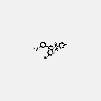 Cc1ccc(S(=O)(=O)n2cc(-c3cccc(C(F)(F)F)c3)c3cc(Br)cnc32)cc1